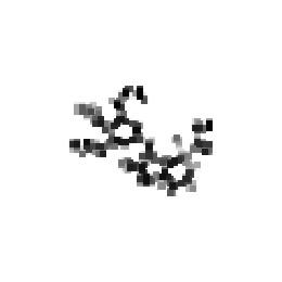 COc1cc(Cn2c(=O)[nH]c3cccc(CC(=O)O)c32)cc(OC)c1OC